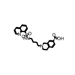 O=[N+](O)c1ccc2c(c1)CN(CCCCNS(=O)(=O)c1cccc3cccnc13)CC2